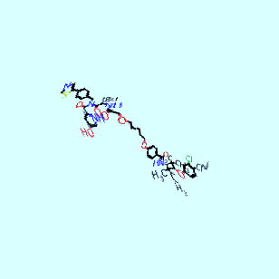 CC(C)(C)[C@H](NC(=O)COCCCCCOc1ccc(C(=O)N[C@H]2C(C)(C)[C@H](Oc3ccc(C#N)c(Cl)c3)C2(C)C)cc1)C(=O)N(Cc1ccc(-c2cncs2)cc1)C(=O)[C@@H]1C[C@@H](O)CN1